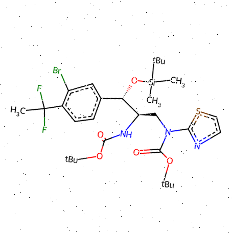 CC(C)(C)OC(=O)N[C@H](CN(C(=O)OC(C)(C)C)c1nccs1)[C@@H](O[Si](C)(C)C(C)(C)C)c1ccc(C(C)(F)F)c(Br)c1